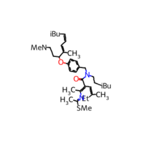 CC\C(C)=C/C(C(=O)N(CCC(C)CC)Cc1ccc(OC(CCNC)/C(C)=C/C=C\C(C)CC)cc1)=C(C)\N=C(/C)SC